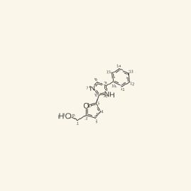 OCc1ccc(-c2ncc(-c3ccccc3)[nH]2)o1